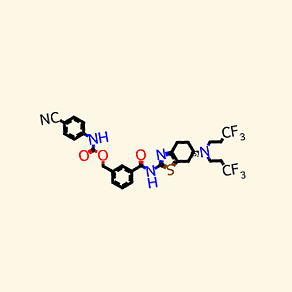 N#Cc1ccc(NC(=O)OCc2cccc(C(=O)Nc3nc4c(s3)C[C@@H](N(CCC(F)(F)F)CCC(F)(F)F)CC4)c2)cc1